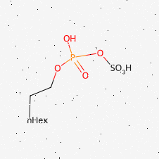 CCCCCCCCOP(=O)(O)OS(=O)(=O)O